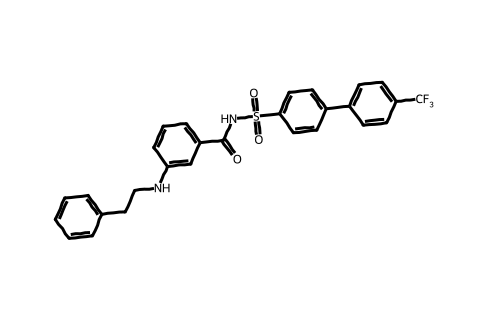 O=C(NS(=O)(=O)c1ccc(-c2ccc(C(F)(F)F)cc2)cc1)c1cccc(NCCc2ccccc2)c1